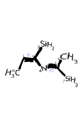 C/C=C([SiH3])\N=C(/C)[SiH3]